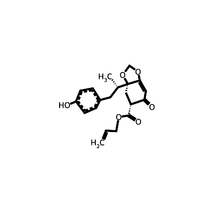 C=CCOC(=O)[C@@H]1C[C@]2([C@@H](C)Cc3ccc(O)cc3)OCOC2=CC1=O